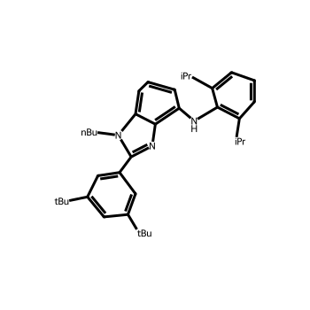 CCCCn1c(-c2cc(C(C)(C)C)cc(C(C)(C)C)c2)nc2c(Nc3c(C(C)C)cccc3C(C)C)cccc21